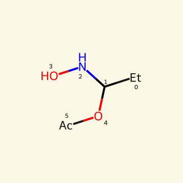 CCC(NO)OC(C)=O